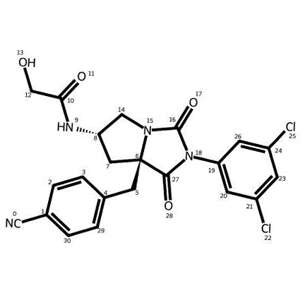 N#Cc1ccc(C[C@@]23C[C@H](NC(=O)CO)CN2C(=O)N(c2cc(Cl)cc(Cl)c2)C3=O)cc1